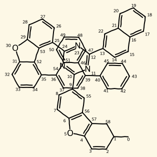 CC1C=Cc2oc3ccc(-c4nc(-c5ccc6ccccc6c5)nc(-c5cccc6oc7cccc(-c8ccc(-c9ccccc9)c9ccccc89)c7c56)n4)cc3c2C1